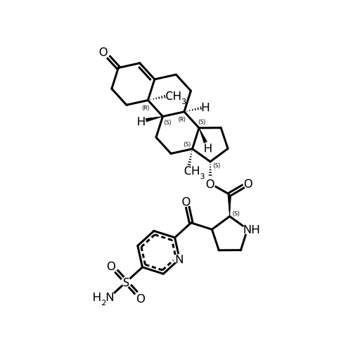 C[C@]12CC[C@H]3[C@@H](CCC4=CC(=O)CC[C@@]43C)[C@@H]1CC[C@@H]2OC(=O)[C@H]1NCCC1C(=O)c1ccc(S(N)(=O)=O)cn1